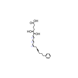 O=C(O)CCC[C@H](O)[C@H](O)/C=C/C=C/C=C\CC#CCCCc1ccccc1